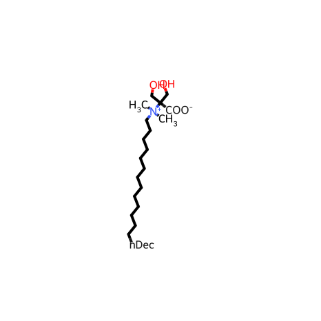 CCCCCCCCCCCCCCCCCCCCCCC[N+](C)(C)C(CO)(CO)C(=O)[O-]